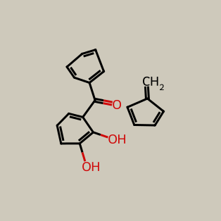 C=C1C=CC=C1.O=C(c1ccccc1)c1cccc(O)c1O